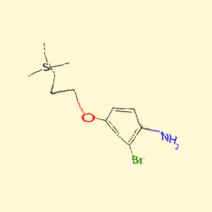 C[Si](C)(C)CCOc1ccc(N)c(Br)c1